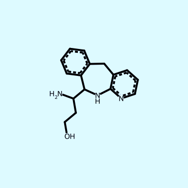 NC(CCO)C1Nc2ncccc2Cc2ccccc21